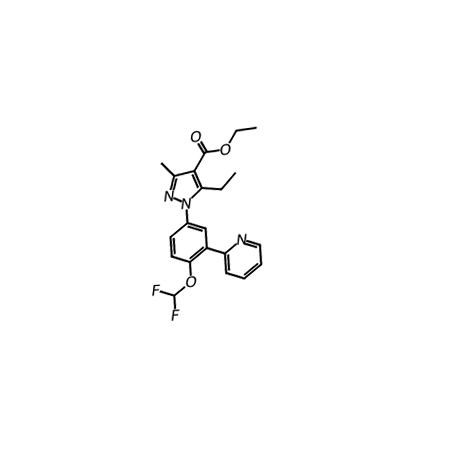 CCOC(=O)c1c(C)nn(-c2ccc(OC(F)F)c(-c3ccccn3)c2)c1CC